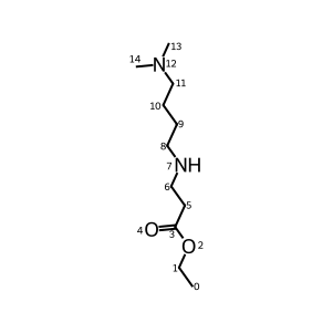 CCOC(=O)CCNCCCCN(C)C